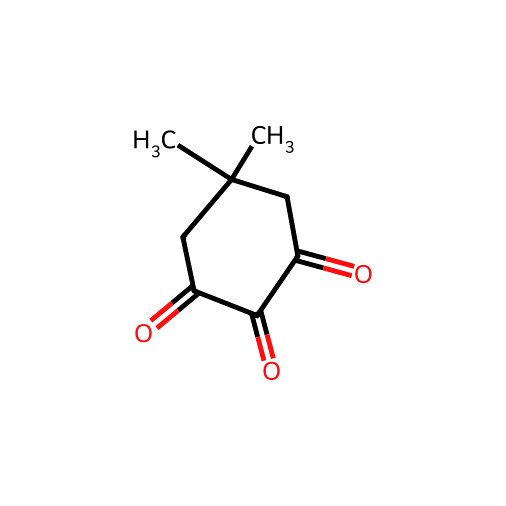 CC1(C)CC(=O)C(=O)C(=O)C1